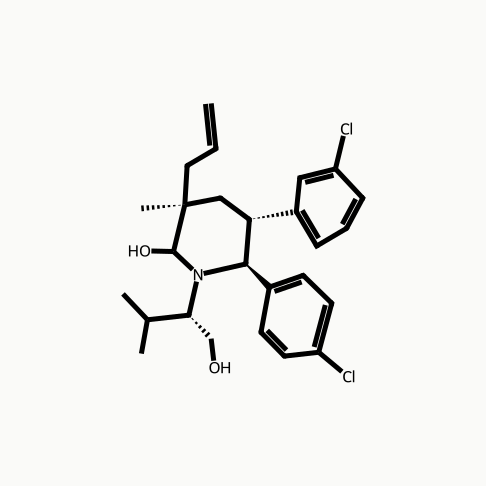 C=CC[C@@]1(C)C[C@H](c2cccc(Cl)c2)[C@@H](c2ccc(Cl)cc2)N([C@H](CO)C(C)C)C1O